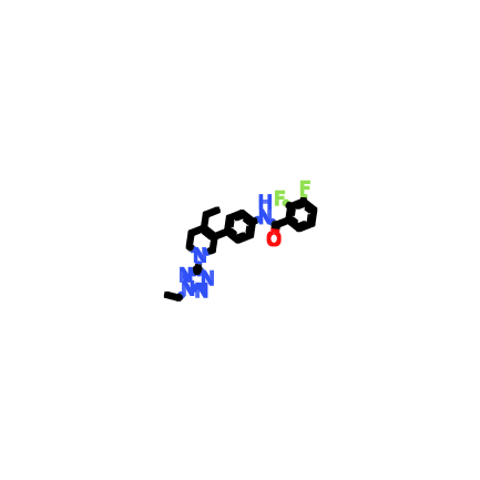 CCC1=C(c2ccc(NC(=O)c3cccc(F)c3F)cc2)CN(c2nnn(CC)n2)CC1